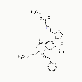 CCCCC[C@@H](OCc1ccccc1)c1cc(C(=O)O)c(C2CCOC2C/C=C/C(=O)OCC)cc1[N+](=O)[O-]